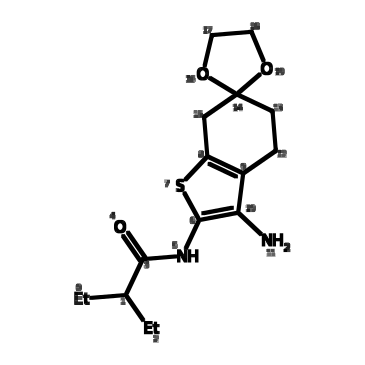 CCC(CC)C(=O)Nc1sc2c(c1N)CCC1(C2)OCCO1